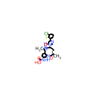 Cc1[nH]c2nc1-c1ccc(NC(=O)O)cc1NC(=O)[C@H](C)CCC[C@@H]2n1cnc(-c2cccc(Cl)c2F)cc1=O